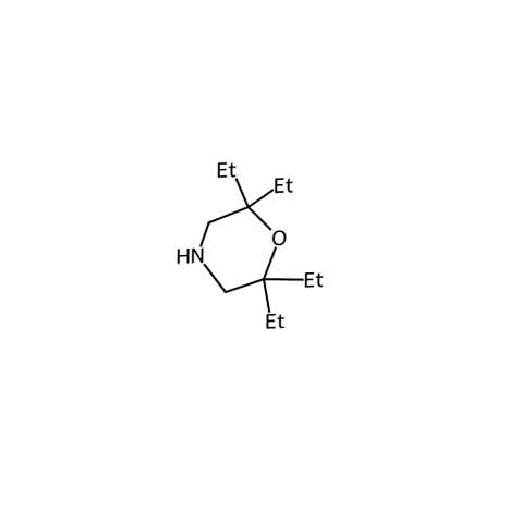 CCC1(CC)CNCC(CC)(CC)O1